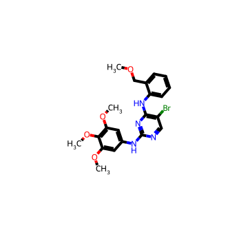 COCc1ccccc1Nc1nc(Nc2cc(OC)c(OC)c(OC)c2)ncc1Br